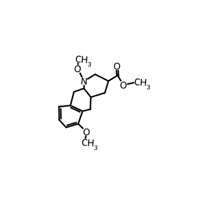 COC(=O)C1CC2Cc3c(cccc3OC)CC2N(OC)C1